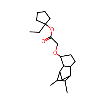 CCC1(OC(=O)COC2CCC3C4CC(C(C)C4C)C23)CCCC1